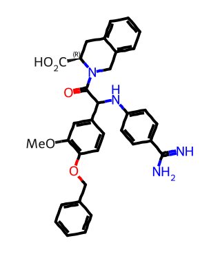 COc1cc(C(Nc2ccc(C(=N)N)cc2)C(=O)N2Cc3ccccc3C[C@@H]2C(=O)O)ccc1OCc1ccccc1